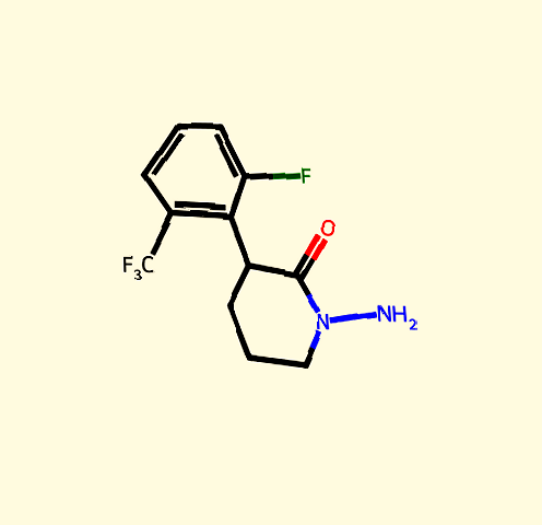 NN1CCCC(c2c(F)cccc2C(F)(F)F)C1=O